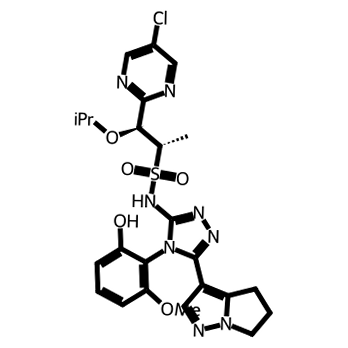 COc1cccc(O)c1-n1c(NS(=O)(=O)[C@@H](C)[C@@H](OC(C)C)c2ncc(Cl)cn2)nnc1-c1cnn2c1CCC2